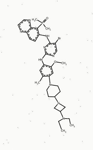 CCN(CC)C1CN(C2CCN(c3cc(OC)c(Nc4ncc(Br)c(Nc5ccc6nccnc6c5P(C)(C)=O)n4)cc3C)CC2)C1